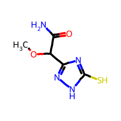 COC(C(N)=O)c1n[nH]c(S)n1